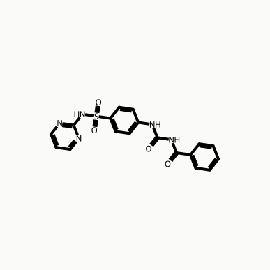 O=C(NC(=O)c1ccccc1)Nc1ccc(S(=O)(=O)Nc2ncccn2)cc1